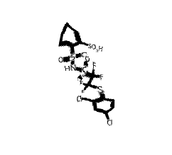 O=S(=O)(O)c1ccccc1S(=O)(=O)NS(=O)(=O)C(F)(F)C(F)(F)Sc1ccc(Cl)cc1Cl